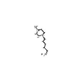 [2H]N1CCN(CCCCCN)CC1